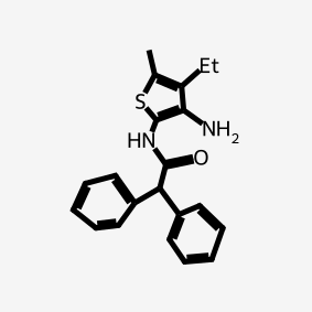 CCc1c(C)sc(NC(=O)C(c2ccccc2)c2ccccc2)c1N